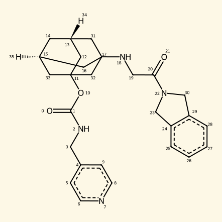 O=C(NCc1ccncc1)OC12C[C@@H]3C[C@@H](CC(NCC(=O)N4Cc5ccccc5C4)(C3)C1)C2